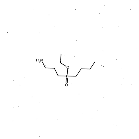 CCCCP(=O)(CCCN)OCC